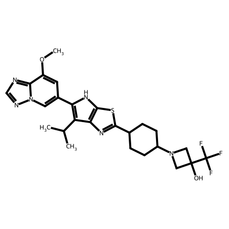 COc1cc(-c2[nH]c3sc(C4CCC(N5CC(O)(C(F)(F)F)C5)CC4)nc3c2C(C)C)cn2ncnc12